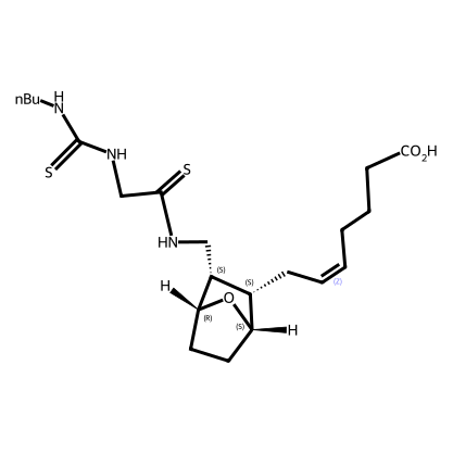 CCCCNC(=S)NCC(=S)NC[C@@H]1[C@H](C/C=C\CCCC(=O)O)[C@@H]2CC[C@H]1O2